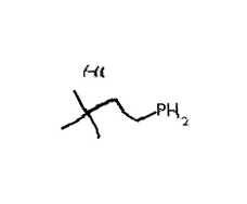 CC(C)(C)CCP.I